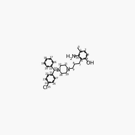 Cc1ccc(O)c(CCCN2CCN(C(c3ccccc3)c3ccc(Cl)cc3)CC2)c1N